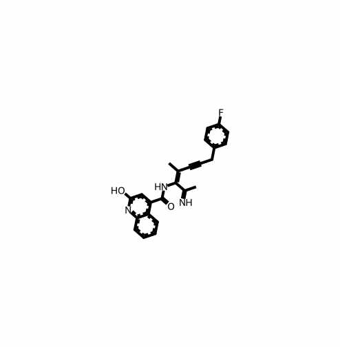 CC(=N)/C(NC(=O)c1cc(O)nc2ccccc12)=C(/C)C#CCc1ccc(F)cc1